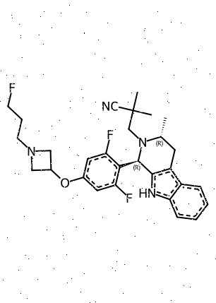 C[C@@H]1Cc2c([nH]c3ccccc23)[C@@H](c2c(F)cc(OC3CN(CCCF)C3)cc2F)N1CC(C)(C)C#N